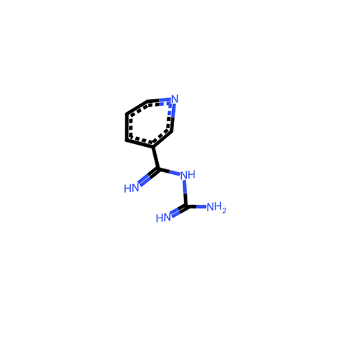 N=C(N)NC(=N)c1cccnc1